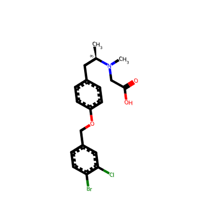 C[C@H](Cc1ccc(OCc2ccc(Br)c(Cl)c2)cc1)N(C)CC(=O)O